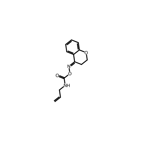 C=CCNC(=O)ON=C1CCOc2ccccc21